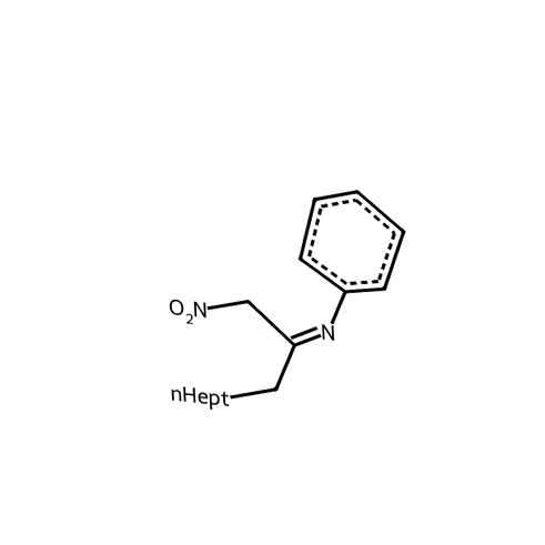 CCCCCCCCC(C[N+](=O)[O-])=Nc1ccccc1